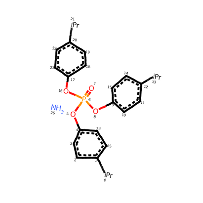 CC(C)c1ccc(OP(=O)(Oc2ccc(C(C)C)cc2)Oc2ccc(C(C)C)cc2)cc1.N